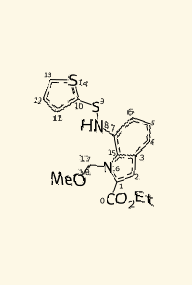 CCOC(=O)c1cc2cccc(NSc3cccs3)c2n1COC